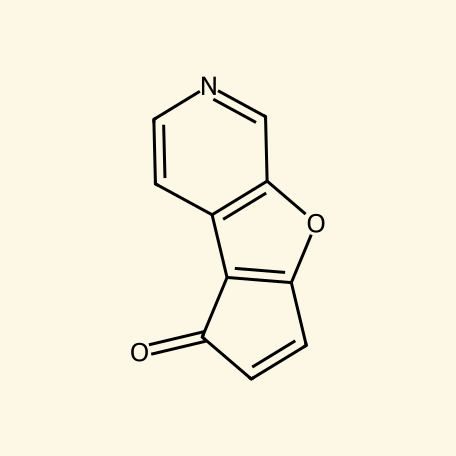 O=C1C=Cc2oc3cnccc3c21